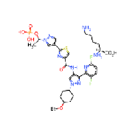 CCO[C@H]1CC[C@H](n2cc(NC(=O)c3csc(-c4cnn(C(C)OP(=O)(O)O)c4)n3)c(-c3nc(F)ccc3F)n2)CC1.NCCCC[C@H](N)C(=O)O